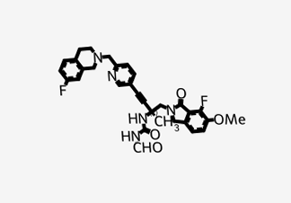 COc1ccc2c(c1F)C(=O)N(C[C@@](C)(C#Cc1ccc(CN3CCc4ccc(F)cc4C3)nc1)NC(=O)NC=O)C2